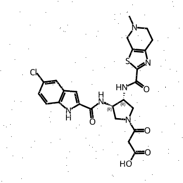 CN1CCc2nc(C(=O)N[C@@H]3CN(C(=O)CC(=O)O)C[C@H]3NC(=O)c3cc4cc(Cl)ccc4[nH]3)sc2C1